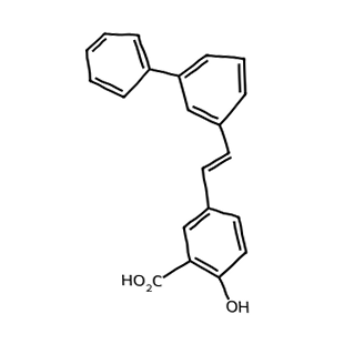 O=C(O)c1cc(C=Cc2cccc(-c3ccccc3)c2)ccc1O